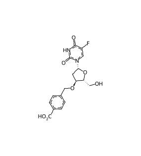 O=C(O)c1ccc(CO[C@H]2C[C@H](n3cc(F)c(=O)[nH]c3=O)O[C@@H]2CO)cc1